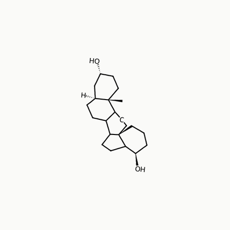 C[C@]12CC[C@@H](O)C[C@@H]1CCC1C3CCC4[C@H](O)CCC[C@]34CCC12